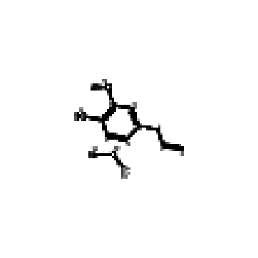 C=CCc1ccc(O)c(OC)c1.CCOCC